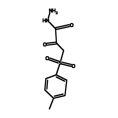 Cc1ccc(S(=O)(=O)CC(=O)C(=O)NN)cc1